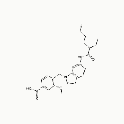 CCCCC(CC)C(=O)Nc1ccc2ccn(Cc3ccc(C(=O)O)cc3OC)c2c1